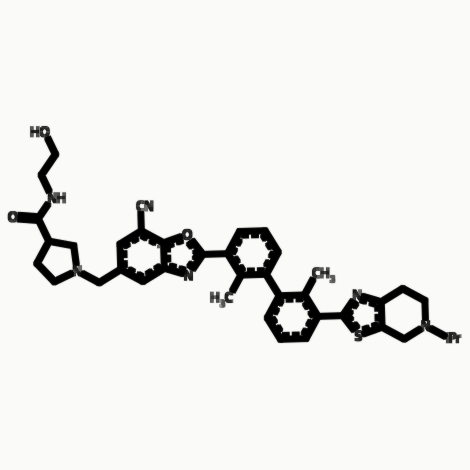 Cc1c(-c2nc3cc(CN4CCC(C(=O)NCCO)C4)cc(C#N)c3o2)cccc1-c1cccc(-c2nc3c(s2)CN(C(C)C)CC3)c1C